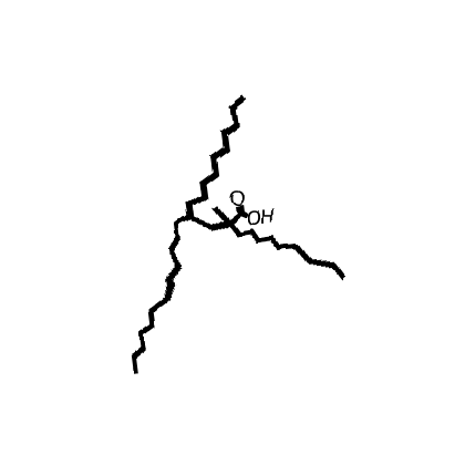 CCCCCCCCCCCCC(CCCCCCCCCC)CC(C)(CCCCCCCCC)C(=O)O